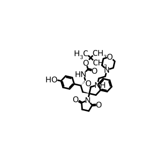 CC(C)(C)OC(=O)NC[C@H](C[C@](Cc1ccccc1)(C(=O)NCCN1CCOCC1)N1C(=O)CCC1=O)c1ccc(O)cc1